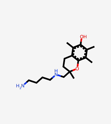 Cc1c(C)c2c(c(C)c1O)CCC(C)(CNCCCCN)O2